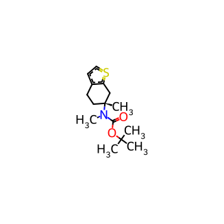 CN(C(=O)OC(C)(C)C)[C@]1(C)CCc2ccsc2C1